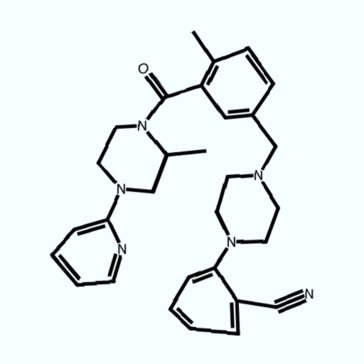 Cc1ccc(CN2CCN(c3ccccc3C#N)CC2)cc1C(=O)N1CCN(c2ccccn2)CC1C